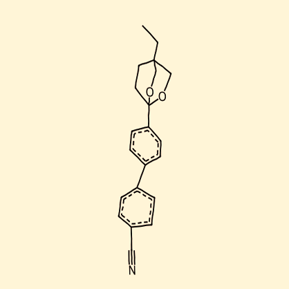 CCC12CCC(c3ccc(-c4ccc(C#N)cc4)cc3)(OC1)OC2